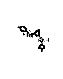 Cc1ccc(-c2nc(-c3cccc(-c4n[nH]c(-c5ccc(C)cc5)n4)c3)n[nH]2)cc1